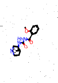 COc1ccccc1C(=O)NC(=O)NC1CN2CCC1CC2